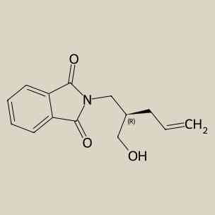 C=CC[C@@H](CO)CN1C(=O)c2ccccc2C1=O